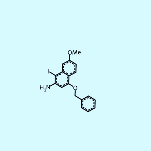 COc1ccc2c(OCc3ccccc3)cc(N)c(I)c2c1